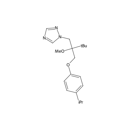 COC(COc1ccc(C(C)C)cc1)(Cn1cncn1)C(C)(C)C